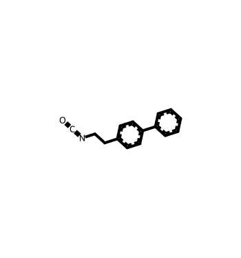 O=C=NCCc1ccc(-c2ccccc2)cc1